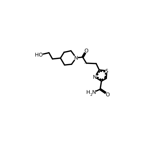 NC(=O)c1csc(C[CH]C(=O)N2CCC(CCO)CC2)n1